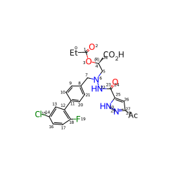 CCC(=O)O[C@H](CN(Cc1ccc(-c2cc(Cl)ccc2F)cc1)NC(=O)c1cc(C(C)=O)n[nH]1)C(=O)O